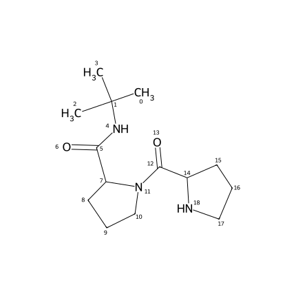 CC(C)(C)NC(=O)C1CCCN1C(=O)C1CCCN1